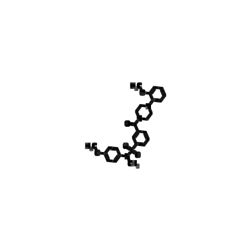 COc1ccc(N(C)S(=O)(=O)c2cccc(C(=O)N3CCN(c4ccccc4OC)CC3)c2)cc1